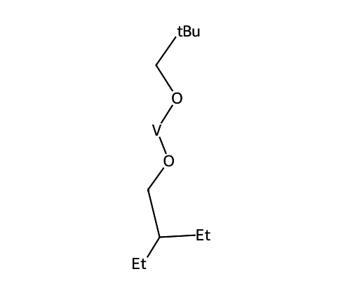 CCC(CC)C[O][V][O]CC(C)(C)C